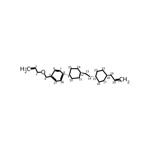 C=CCOCc1ccc([C@H]2CC[C@H](CC[C@H]3CC[C@H](CC=C)CC3)CC2)cc1